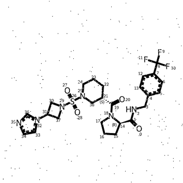 O=C(NCc1ccc(C(F)(F)F)cc1)[C@H]1CCCN1C(=O)[C@H]1CCCN(S(=O)(=O)N2CC(n3ccnc3)C2)C1